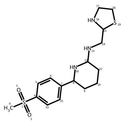 CS(=O)(=O)c1ccc(C2CCCC(NCC3NCCS3)N2)cc1